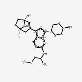 COC[C@H](C)Nc1ncc2c(C3=C[C@@H]4CC[C@H](C3)N4)cc([C@H]3CC[C@H](O)CC3)n2n1